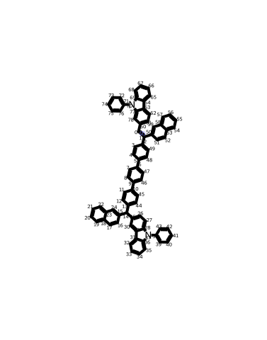 C(=C(\c1ccc(-c2ccc(-c3ccc(C(c4ccc5ccccc5c4)c4ccc5c(c4)c4ccccc4n5-c4ccccc4)cc3)cc2)cc1)c1ccc2ccccc2c1)/c1ccc2c3ccccc3n(-c3ccccc3)c2c1